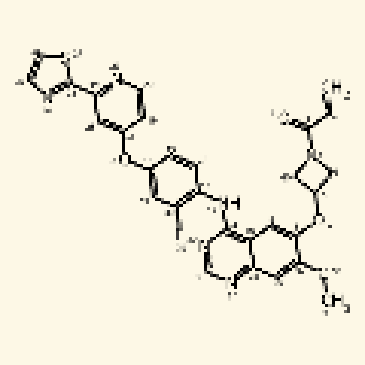 C=CC(=O)N1CC(Oc2cc3c(Nc4ccc(Oc5ccnc(-c6nccs6)c5)cc4F)ncnc3cc2OC)C1